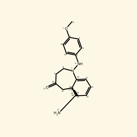 COc1ccc(NN2CCC(=O)CC34CN=C(N)N=C3C=CC=C24)cc1